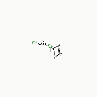 [CH]1C=CC1.[Cl][Mg][Cl]